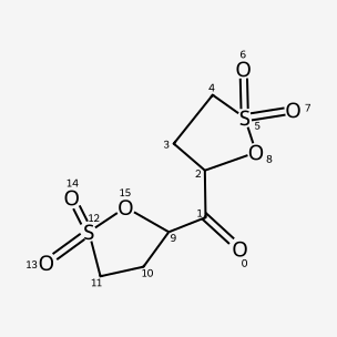 O=C(C1CCS(=O)(=O)O1)C1CCS(=O)(=O)O1